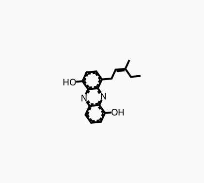 CCC(C)=CCc1ccc(O)c2nc3cccc(O)c3nc12